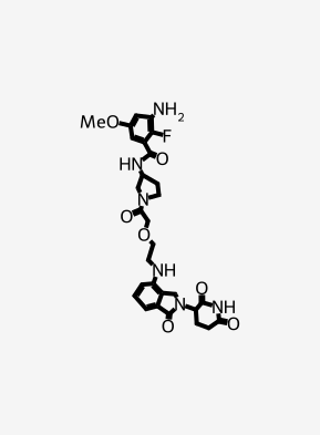 COc1cc(N)c(F)c(C(=O)NC2CCN(C(=O)COCCNc3cccc4c3CN(C3CCC(=O)NC3=O)C4=O)C2)c1